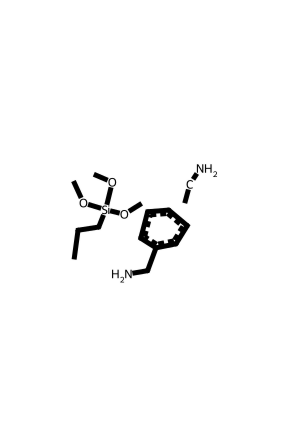 CCC[Si](OC)(OC)OC.CCN.NCc1ccccc1